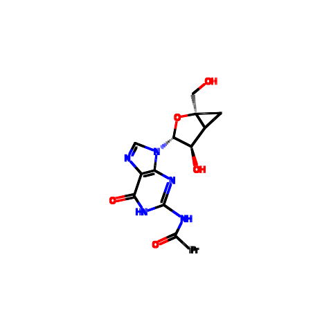 CC(C)C(=O)Nc1nc2c(ncn2[C@@H]2O[C@@]3(CO)CC3[C@H]2O)c(=O)[nH]1